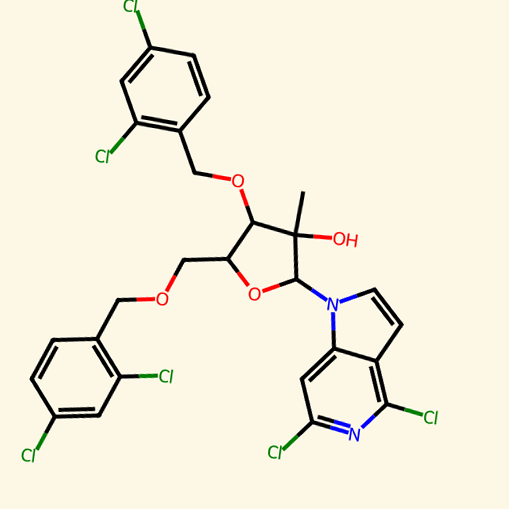 CC1(O)C(OCc2ccc(Cl)cc2Cl)C(COCc2ccc(Cl)cc2Cl)OC1n1ccc2c(Cl)nc(Cl)cc21